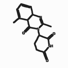 CC1=CC=CC2N=C(C)N(C3CCC(=O)NC3=O)C(=O)C12